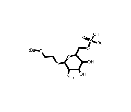 CC(C)(C)OCCOC1OC(COP(=O)(O)C(C)(C)C)C(O)C(O)C1N